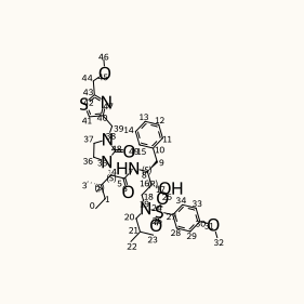 CC[C@H](C)[C@@H](C(=O)N[C@@H](Cc1ccccc1)[C@H](O)CN(CC(C)C)S(=O)(=O)c1ccc(OC)cc1)N1CCN(Cc2csc(COC)n2)C1=O